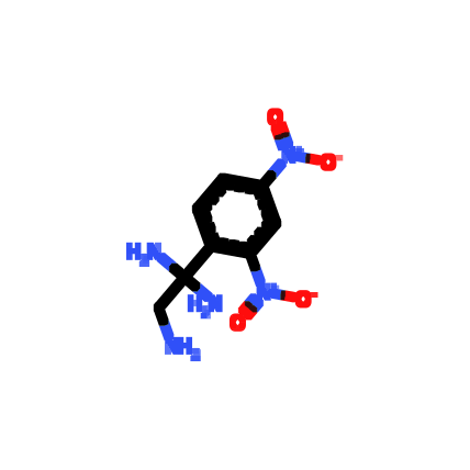 NCC(N)(N)c1ccc([N+](=O)[O-])cc1[N+](=O)[O-]